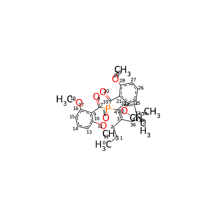 CCCC1=C(P(=O)(C(=O)c2c(OC)cccc2OC)C(=O)c2c(OC)cccc2OC)C=CC(C)(C)C1